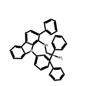 N[C@](CNc1c(-c2ccccc2)ccc2c3ccccc3n(-c3ccccc3)c12)(Cc1ccccc1)c1ccccc1